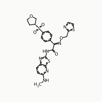 CNc1ccc2nc(NC(=O)/C(=N/OCc3nccs3)c3ccc(S(=O)(=O)[C@H]4CCOC4)cc3)sc2n1